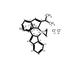 CC(C)C1=Cc2ccccc2[CH]1[Ti+2]1([CH]2C(C(C)C)=Cc3ccccc32)[CH2][CH2]1.[Cl-].[Cl-]